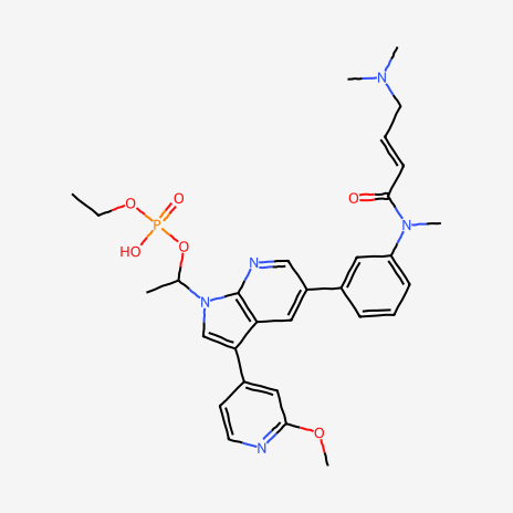 CCOP(=O)(O)OC(C)n1cc(-c2ccnc(OC)c2)c2cc(-c3cccc(N(C)C(=O)C=CCN(C)C)c3)cnc21